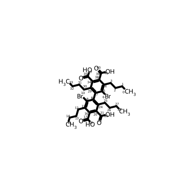 CCCCc1c(Br)c(-c2c(Br)c(CCCC)c(C(=O)O)c(C(=O)O)c2CCCC)c(CCCC)c(C(=O)O)c1C(=O)O